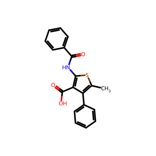 Cc1sc(NC(=O)c2ccccc2)c(C(=O)O)c1-c1ccccc1